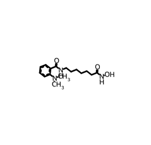 CN(C)c1ccccc1C(=O)NCCCCCCC(=O)NO